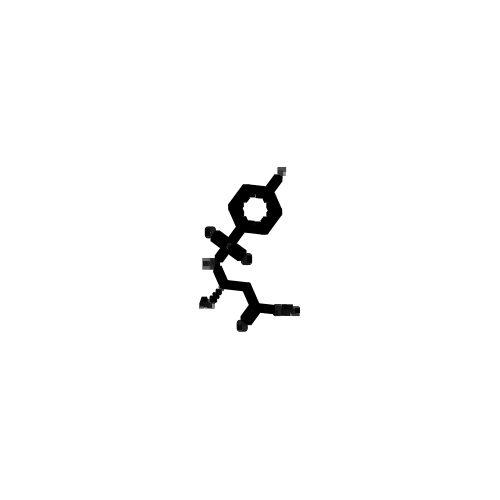 COC(=O)C[C@@H](NS(=O)(=O)c1ccc(F)cc1)C(C)=O